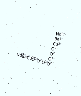 [Ba+2].[Ba+2].[Cu+2].[Cu+2].[Nd+3].[Nd+3].[O-2].[O-2].[O-2].[O-2].[O-2].[O-2].[O-2]